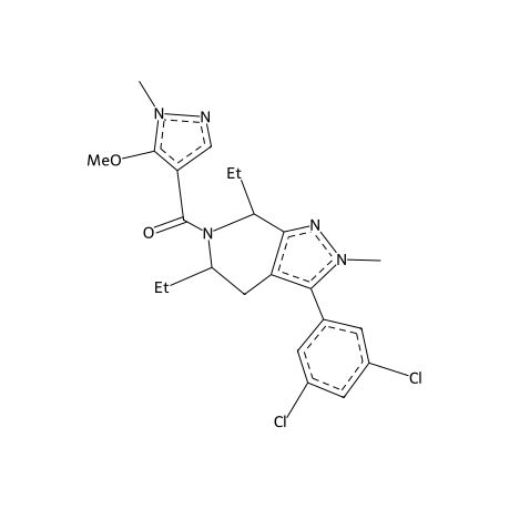 CCC1Cc2c(nn(C)c2-c2cc(Cl)cc(Cl)c2)C(CC)N1C(=O)c1cnn(C)c1OC